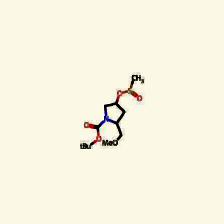 COCC1CC(OS(C)=O)CN1C(=O)OC(C)(C)C